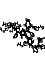 CC[C@@H](Nc1cc(C)c(-c2sc(C(=O)NCC(C)(C)O)nc2C(=O)N2CCC[C@@H]2C)cn1)C1CC1